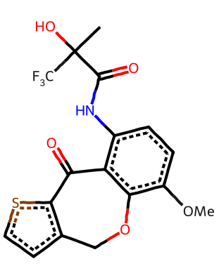 COc1ccc(NC(=O)C(C)(O)C(F)(F)F)c2c1OCc1ccsc1C2=O